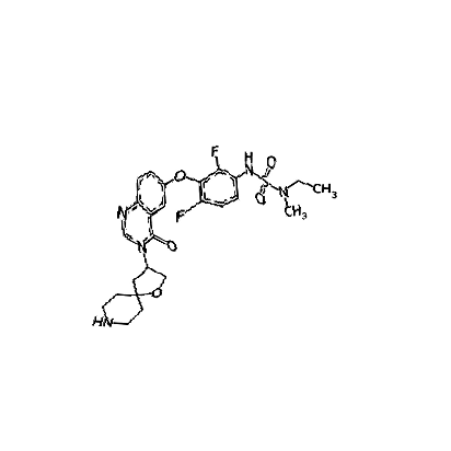 CCN(C)S(=O)(=O)Nc1ccc(F)c(Oc2ccc3ncn(C4COC5(CCNCC5)C4)c(=O)c3c2)c1F